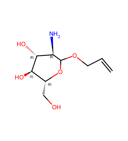 C=CCOC1O[C@H](CO)[C@@H](O)[C@H](O)[C@H]1N